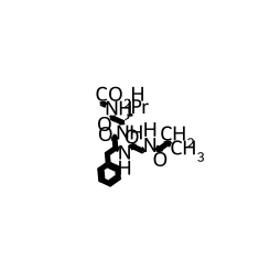 C=C(C)C(=O)NCC(=O)NC(Cc1ccccc1)C(=O)N[C@@H](CC(C)C)C(=O)NCC(=O)O